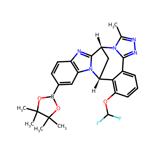 Cc1nnc2n1[C@@H]1C[C@H](c3c(OC(F)F)cccc3-2)n2c1nc1ccc(B3OC(C)(C)C(C)(C)O3)cc12